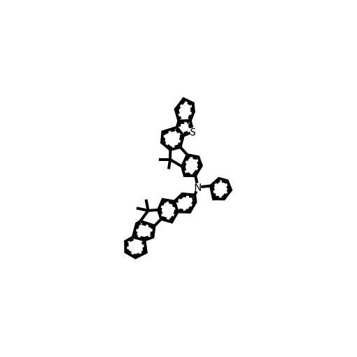 CC1(C)c2cc3ccccc3cc2-c2cc3ccc(N(c4ccccc4)c4ccc5c(c4)C(C)(C)c4ccc6c(sc7ccccc76)c4-5)cc3cc21